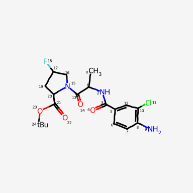 CC(NC(=O)c1ccc(N)c(Cl)c1)C(=O)N1CC(F)CC1C(=O)OC(C)(C)C